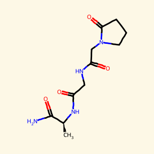 C[C@H](NC(=O)CNC(=O)CN1CCCC1=O)C(N)=O